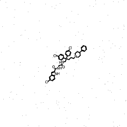 O=C(CNC(=O)c1cc2cc(Cl)ccc2[nH]1)NCC(CCCN1CCC(c2ccccc2)CC1)(c1ccc(Cl)cc1)c1ccc(Cl)cc1